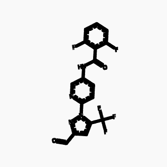 O=Cc1cc(C(F)(F)F)n(-c2ccc(NC(=O)c3c(F)cccc3F)cn2)n1